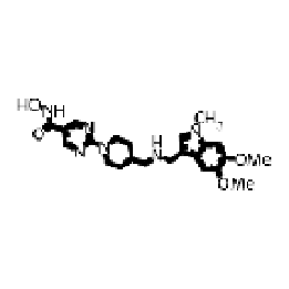 COc1cc2c(CNCC3CCN(c4ncc(C(=O)NO)cn4)CC3)cn(C)c2cc1OC